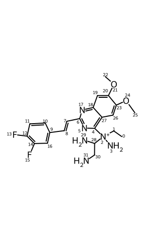 CC[N+](N)(c1nc(/C=C/c2ccc(F)c(F)c2)nc2cc(OC)c(OC)cc12)C(N)CN